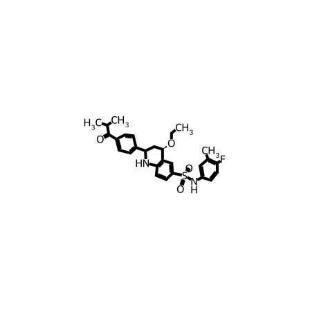 CCO[C@H]1CC(c2ccc(C(=O)C(C)C)cc2)Nc2ccc(S(=O)(=O)Nc3ccc(F)c(C)c3)cc21